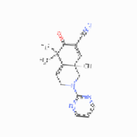 CC12C=C(C#N)C(=O)C(C)(C)C1=CCN(c1ncccn1)C2